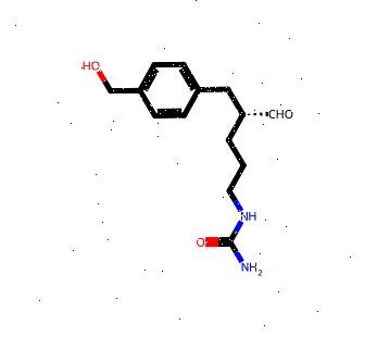 NC(=O)NCCC[C@@H](C=O)Cc1ccc(CO)cc1